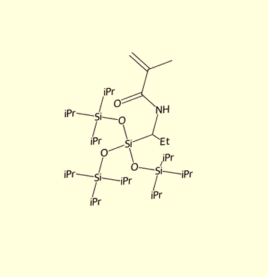 C=C(C)C(=O)NC(CC)[Si](O[Si](C(C)C)(C(C)C)C(C)C)(O[Si](C(C)C)(C(C)C)C(C)C)O[Si](C(C)C)(C(C)C)C(C)C